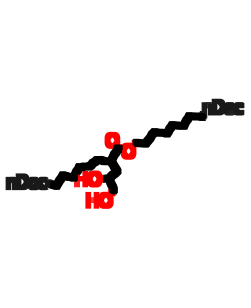 CCCCCCCCCCCCCCCCCCOC(=O)C(CCCCCCCCCCCCCCCC)CC(O)CO